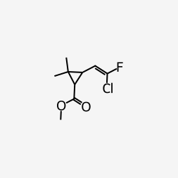 COC(=O)C1C(C=C(F)Cl)C1(C)C